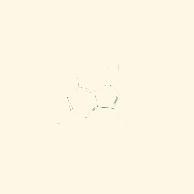 Cc1cn(C)c2c(C)cc(F)cc12